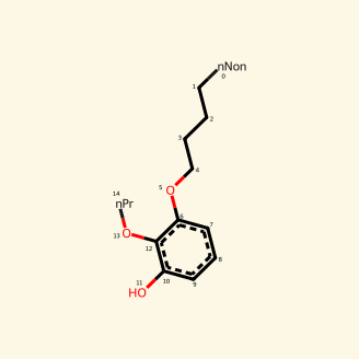 CCCCCCCCCCCCCOc1cccc(O)c1OCCC